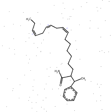 CC/C=C\C/C=C\C/C=C\CCCCCCC(C(N)=O)C(C)c1ccccc1